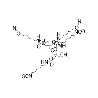 CCC(COCC(CC)(COC(=O)NCCCCCCOC#N)COC(=O)NCCCCCCOC#N)(COC(=O)NCCCCCCN=C=O)COC(=O)NCCCCCCN=C=O